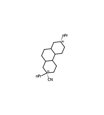 CCC[C@@H]1CCC2C(CCC3C[C@](C#N)(CCC)CCC32)C1